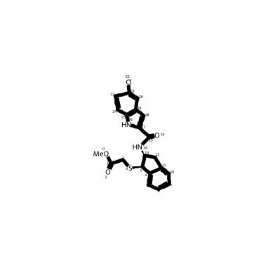 COC(=O)CS[C@@H]1c2ccccc2C[C@H]1NC(=O)c1cc2cc(Cl)ccc2[nH]1